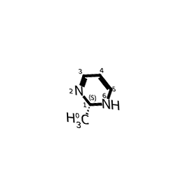 C[C@@H]1N=CC=CN1